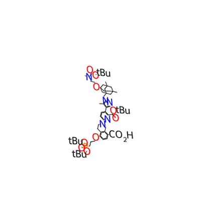 Cc1c(-c2ccc(N3CCc4c(OCCCP(=O)(OC(C)(C)C)OC(C)(C)C)ccc(C(=O)O)c4C3)nc2C(=O)OC(C)(C)C)cnn1CC12CC3(C)CC(C)(C1)CC(OCCN(C)C(=O)OC(C)(C)C)(C3)C2